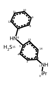 CC(C)Nc1ccc(Nc2ccccc2)cc1.S